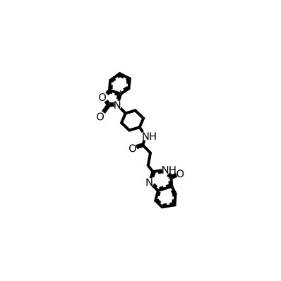 O=C(CCc1nc2ccccc2c(=O)[nH]1)NC1CCC(n2c(=O)oc3ccccc32)CC1